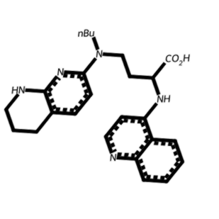 CCCCN(CCC(Nc1ccnc2ccccc12)C(=O)O)c1ccc2c(n1)NCCC2